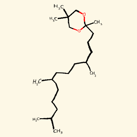 CC(C)CCCC(C)CCCC(C)CCCC1(C)OCC(C)(C)CO1